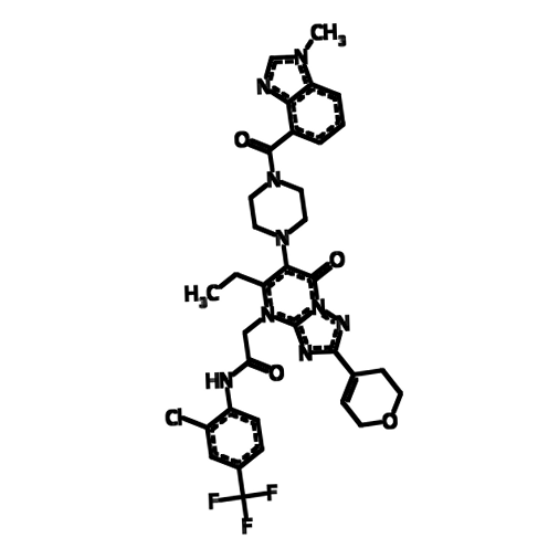 CCc1c(N2CCN(C(=O)c3cccc4c3ncn4C)CC2)c(=O)n2nc(C3=CCOCC3)nc2n1CC(=O)Nc1ccc(C(F)(F)F)cc1Cl